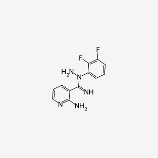 N=C(c1cccnc1N)N(N)c1cccc(F)c1F